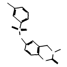 Cc1cccc(S(=O)(=O)Nc2ccc3c(c2)CN(C)C(=O)N3)c1